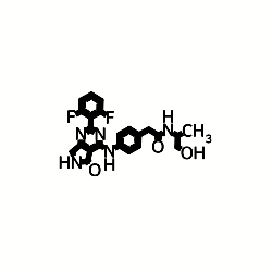 CC(CO)NC(=O)Cc1ccc(Nc2nc(-c3c(F)cccc3F)nc3c2C(=O)NC3)cc1